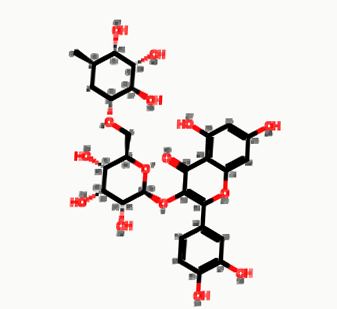 C[C@@H]1C[C@@H](OC[C@H]2O[C@@H](Oc3c(-c4ccc(O)c(O)c4)oc4cc(O)cc(O)c4c3=O)[C@H](O)[C@H](O)[C@@H]2O)[C@H](O)[C@@H](O)[C@H]1O